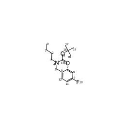 CC[CH]CN(Cc1ccc(F)cc1)C(=O)OC(C)(C)C